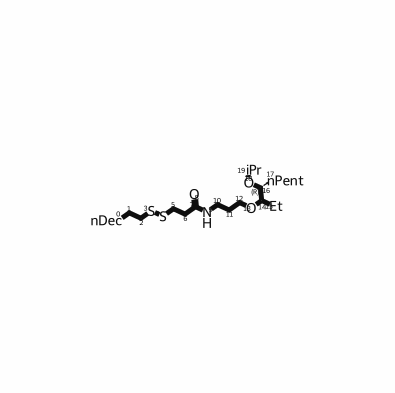 CCCCCCCCCCCCSSCCC(=O)NCCCOC(CC)[C@@H](CCCCC)OC(C)C